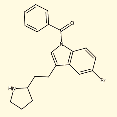 O=C(c1ccccc1)n1cc(CCC2CCCN2)c2cc(Br)ccc21